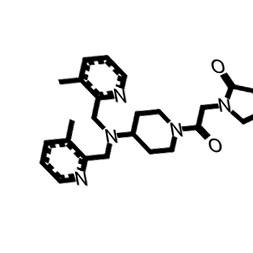 Cc1cccnc1CN(Cc1ncccc1C)C1CCN(C(=O)CN2CCCC2=O)CC1